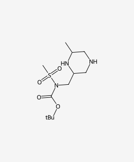 CC1CNCC(CN(C(=O)OC(C)(C)C)S(C)(=O)=O)N1